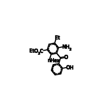 CCCCCCc1c(C(=O)OCC)cc(CC)c(N)c1C(=O)c1ccccc1O